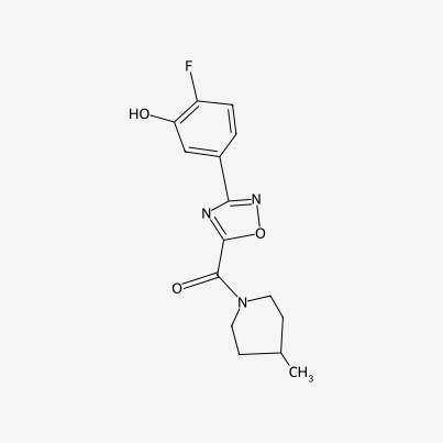 CC1CCN(C(=O)c2nc(-c3ccc(F)c(O)c3)no2)CC1